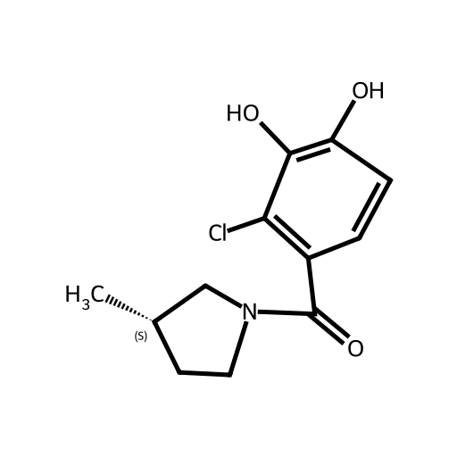 C[C@H]1CCN(C(=O)c2ccc(O)c(O)c2Cl)C1